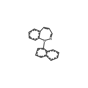 C1=Cc2ccccc2N(c2cccc3ccccc23)N=C1